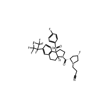 N#CCCN1C[C@@H](F)C[C@H]1C(=O)N1CC[C@@]2(S(=O)(=O)c3ccc(F)cc3)c3ccc(C(F)(C(F)(F)F)C(F)(F)F)cc3CC[C@@H]12